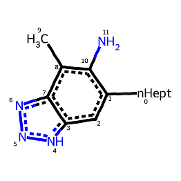 CCCCCCCc1cc2[nH]nnc2c(C)c1N